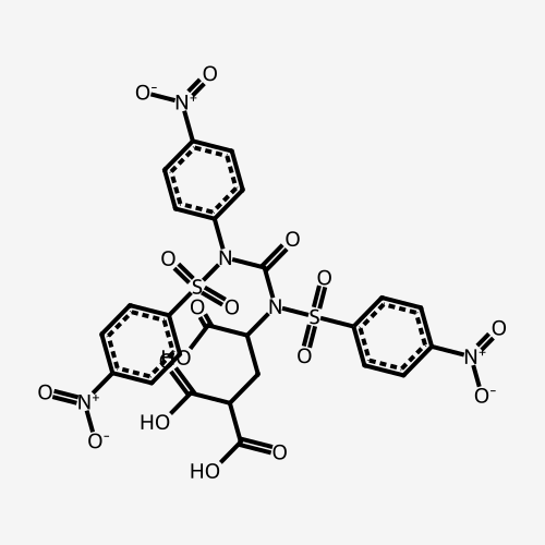 O=C(O)C(CC(C(=O)O)N(C(=O)N(c1ccc([N+](=O)[O-])cc1)S(=O)(=O)c1ccc([N+](=O)[O-])cc1)S(=O)(=O)c1ccc([N+](=O)[O-])cc1)C(=O)O